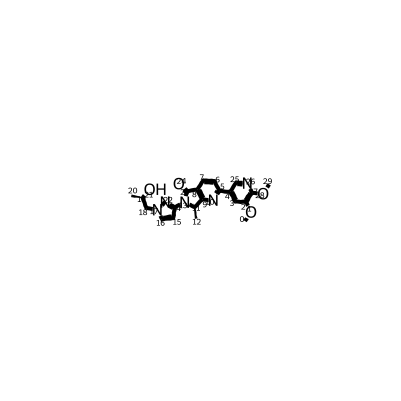 COc1cc(-c2ccc3c(n2)[C@@H](C)N(c2ccn(C[C@@H](C)O)n2)C3=O)cnc1OC